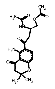 BC(=O)N[C@@H](COC(C)=O)CC(=O)c1ccc2c(c1N)C(=O)CC(C)(C)O2